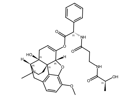 COc1ccc2c3c1O[C@H]1C(OC(=O)[C@@H](NC(=O)CCNC(=O)[C@H](C)O)c4ccccc4)=CC[C@@]4(O)[C@@H](C2)N(C)CC[C@]314